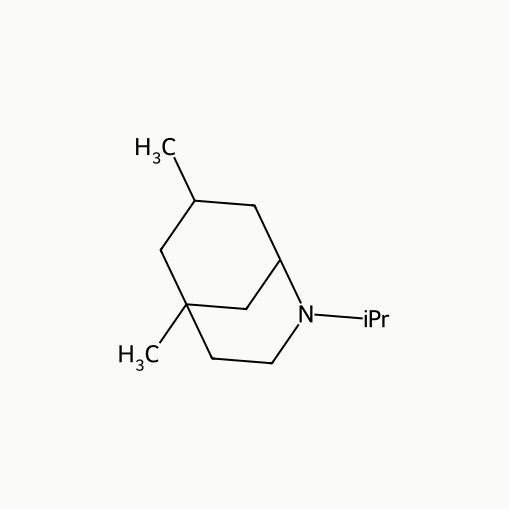 CC1CC2CC(C)(CCN2C(C)C)C1